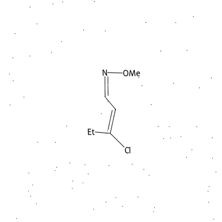 CC/C(Cl)=C\C=N/OC